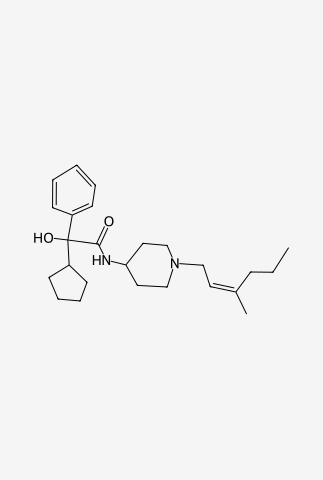 CCC/C(C)=C\CN1CCC(NC(=O)C(O)(c2ccccc2)C2CCCC2)CC1